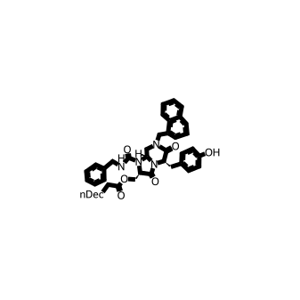 CCCCCCCCCCCC(=O)OC[C@H]1C(=O)N2[C@H](CN(Cc3cccc4ccccc34)C(=O)[C@@H]2Cc2ccc(O)cc2)N1C(=O)NCc1ccccc1